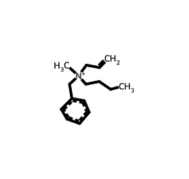 C=CC[N+](C)(CCCC)Cc1ccccc1